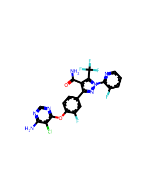 NC(=O)c1c(-c2ccc(Oc3ncnc(N)c3Cl)c(F)c2)nn(-c2ncccc2F)c1C(F)(F)F